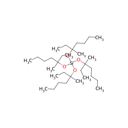 CCCCC(C)(CC)O[Si](OC(C)(CC)CCCC)(OC(C)(CC)CCCC)OC(C)(CC)CCCC